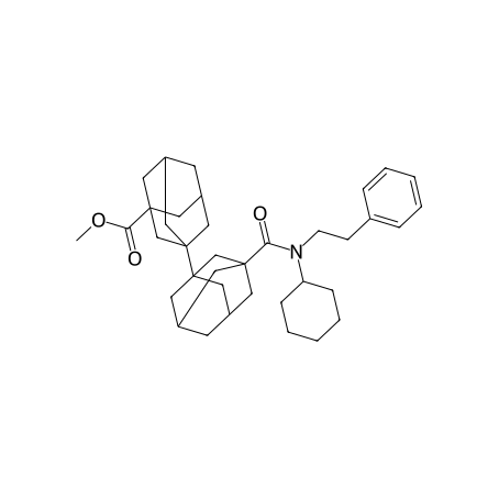 COC(=O)C12CC3CC(C1)CC(C14CC5CC(CC(C(=O)N(CCc6ccccc6)C6CCCCC6)(C5)C1)C4)(C3)C2